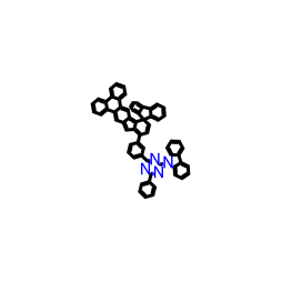 C1=CC2(C3=c4cc5c6ccccc6c6ccccc6c5cc4=CC3=C1c1cccc(-c3nc(-c4ccccc4)nc(-n4c5ccccc5c5ccccc54)n3)c1)c1ccccc1-c1ccccc12